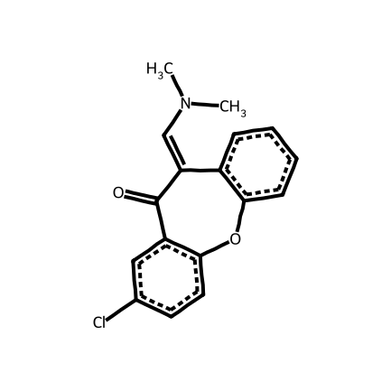 CN(C)/C=C1/C(=O)c2cc(Cl)ccc2Oc2ccccc21